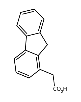 O=C(O)Cc1cccc2c1Cc1ccccc1-2